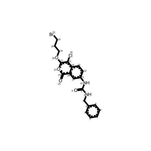 O=C(NCc1ccccc1)Nc1ccc2c(Cl)c(OCCCBr)oc(=O)c2c1